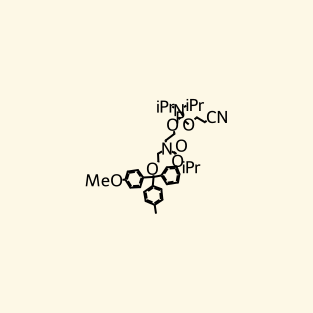 COc1ccc(C(OCCN(CCOP(OCCC#N)N(C(C)C)C(C)C)C(=O)OC(C)C)(c2ccccc2)c2ccc(C)cc2)cc1